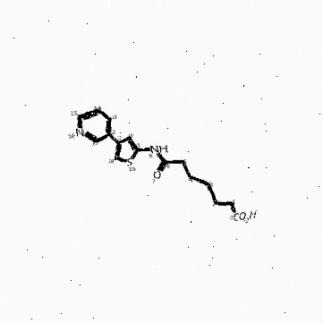 O=C(O)CCCCCC(=O)Nc1cc(-c2cccnc2)cs1